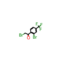 O=C(CBr)c1ccc(C(F)(F)F)cc1Br